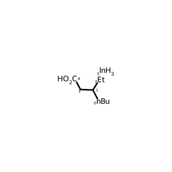 CCCCC(CC)CC(=O)O.[InH3]